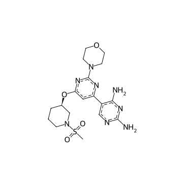 CS(=O)(=O)N1CCC[C@@H](Oc2cc(-c3cnc(N)nc3N)nc(N3CCOCC3)n2)C1